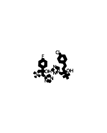 CC(C)(C)C(O)(CCc1ccc(Cl)cc1)Cn1cncn1.C[Si](C)(C)CC(O)(Cn1cncn1)c1ccc(F)cc1